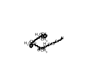 CN(CC(=O)NCCCOCCOCCOCCCC#N)C(=O)CCCCCN1\C(=C/C=C/C=C/C=C/C2=[N+](C)c3ccccc3C2(C)C)C(C)(C)c2ccccc21